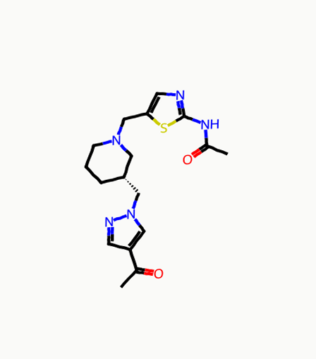 CC(=O)Nc1ncc(CN2CCC[C@@H](Cn3cc(C(C)=O)cn3)C2)s1